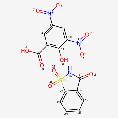 O=C(O)c1cc([N+](=O)[O-])cc([N+](=O)[O-])c1O.O=C1NS(=O)(=O)c2ccccc21